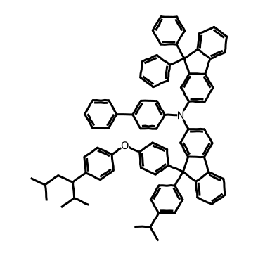 CC(C)CC(c1ccc(Oc2ccc(C3(c4ccc(C(C)C)cc4)c4ccccc4-c4ccc(N(c5ccc(-c6ccccc6)cc5)c5ccc6c(c5)C(c5ccccc5)(c5ccccc5)c5ccccc5-6)cc43)cc2)cc1)C(C)C